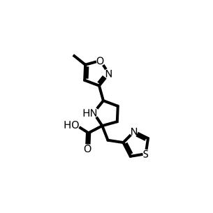 Cc1cc(C2CCC(Cc3cscn3)(C(=O)O)N2)no1